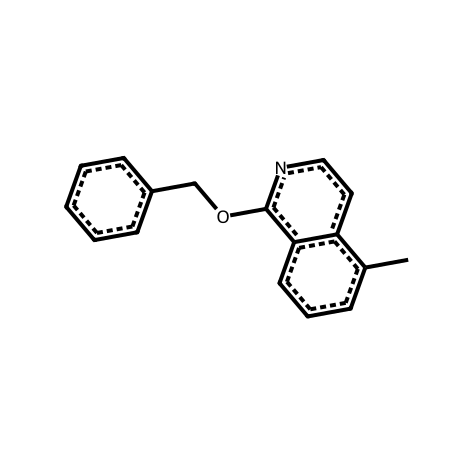 Cc1cccc2c(OCc3ccccc3)nccc12